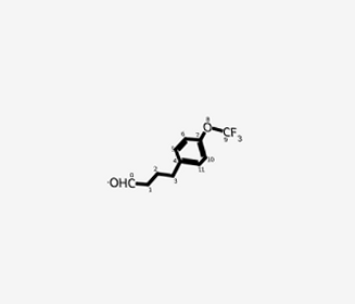 O=[C]CCCc1ccc(OC(F)(F)F)cc1